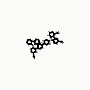 N#Cc1ccc(-n2c3ccccc3c3ccccc32)c(-c2ccc(-c3ccc(-n4c5ccc(C#N)cc5c5c(C#N)cccc54)cc3)cc2)c1